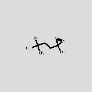 CCC(C)(C)CCC1(C)N=N1